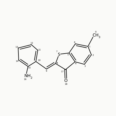 Cc1ccc2c(c1)SC(=Cc1ccccc1N)C2=O